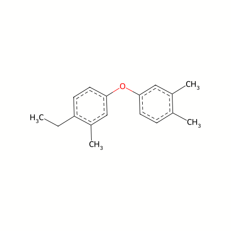 CCc1ccc(Oc2ccc(C)c(C)c2)cc1C